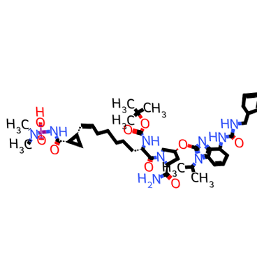 CC(C)n1c(O[C@@H]2C[C@@H](C(N)=O)N(C(=O)[C@H](CCCCC/C=C\[C@@H]3C[C@@H]3C(=O)NI(=O)(O)N(C)C)NC(=O)OC(C)(C)C)C2)nc2c1C=CCC2NC(=O)NCC1C=CC=CC1